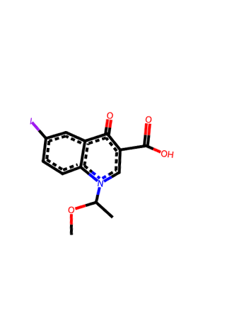 COC(C)n1cc(C(=O)O)c(=O)c2cc(I)ccc21